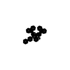 c1ccc(-c2ccc(N3c4cccc5c4B(n4cc(-n6c7ccccc7c7ccccc76)cc4S5)n4cc(-n5c6ccccc6c6ccccc65)cc43)cc2)cc1